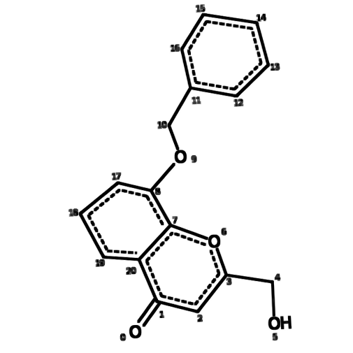 O=c1cc(CO)oc2c(OCc3ccccc3)cccc12